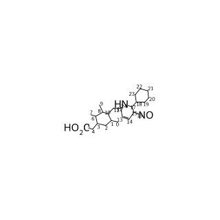 CC1CC(CC(=O)O)C(C)C(C)C1CC1C=CC(N=O)C(C2CCCCC2)N1